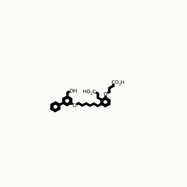 O=C(O)CCCOc1cccc(CCCCCCOc2cc(CO)cc(-c3ccccc3)c2)c1CCC(=O)O